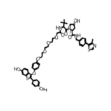 Cc1ncsc1-c1ccc(CNC(=O)[C@@H]2C[C@@H](O)CN2C(=O)C(NC(=O)COCCOCCOCCOc2ccc(Oc3c(-c4ccc(O)cc4)sc4cc(O)ccc34)cc2)C(C)(C)C)cc1